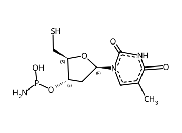 Cc1cn([C@H]2C[C@H](OP(N)O)[C@@H](CS)O2)c(=O)[nH]c1=O